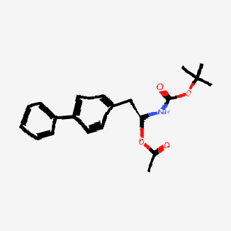 CC(=O)O[C@@H](Cc1ccc(-c2ccccc2)cc1)NC(=O)OC(C)(C)C